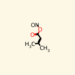 CC(C)=CC(=O)ON=O